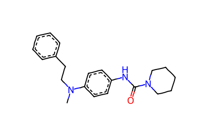 CN(CCc1ccccc1)c1ccc(NC(=O)N2CCCCC2)cc1